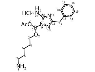 CC(=O)OB(OCCCCCN)n1nc(Cc2ccccc2)nc1N.Cl